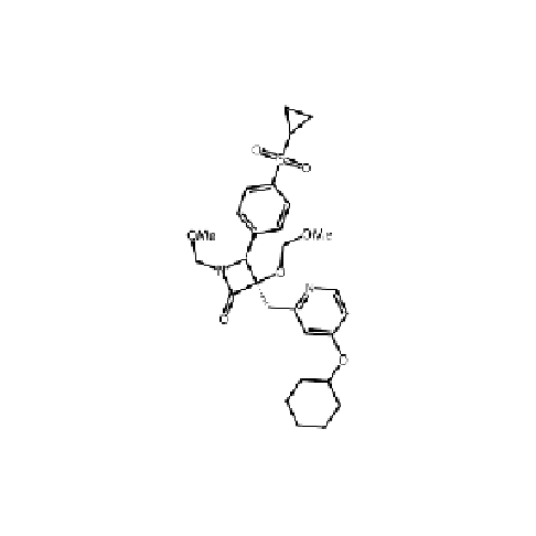 COCO[C@@]1(Cc2cc(OC3CCCCC3)ccn2)C(=O)N(COC)[C@H]1c1ccc(S(=O)(=O)C2CC2)cc1